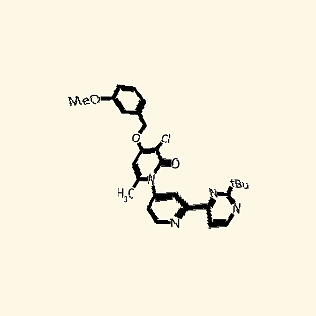 COc1cccc(COc2cc(C)n(-c3ccnc(-c4ccnc(C(C)(C)C)n4)c3)c(=O)c2Cl)c1